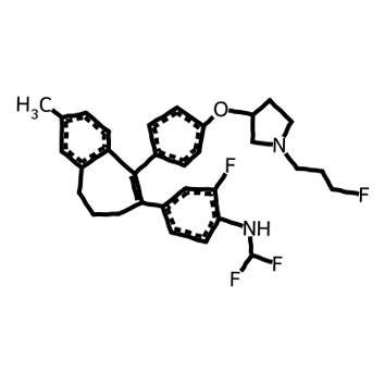 Cc1ccc2c(c1)CCCC(c1ccc(NC(F)F)c(F)c1)=C2c1ccc(OC2CCN(CCCF)C2)cc1